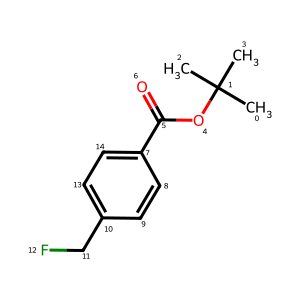 CC(C)(C)OC(=O)c1ccc(CF)cc1